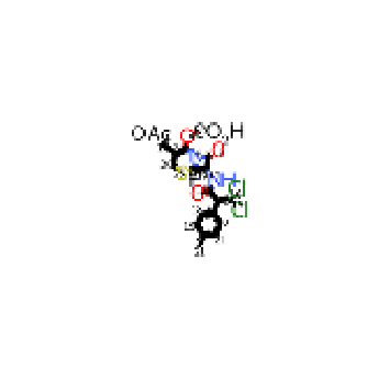 CC(=O)OCC1=C(OC(=O)O)N2C(=O)C(NC(=O)C(=C(Cl)Cl)c3ccc(C)cc3)[C@@H]2SC1